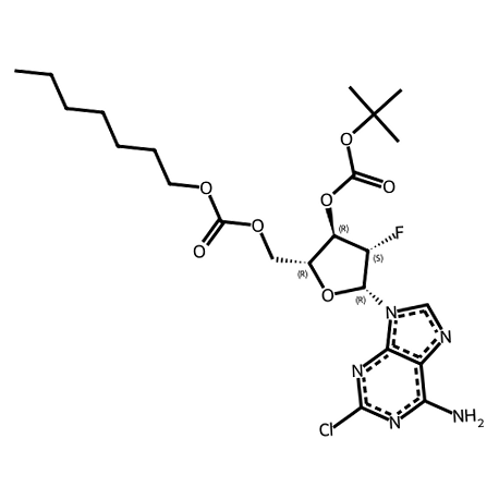 CCCCCCCOC(=O)OC[C@H]1O[C@@H](n2cnc3c(N)nc(Cl)nc32)[C@@H](F)[C@@H]1OC(=O)OC(C)(C)C